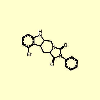 CCc1cccc2c1C1CC3C(=O)N(c4ccccc4)C(=O)N3CC1N2